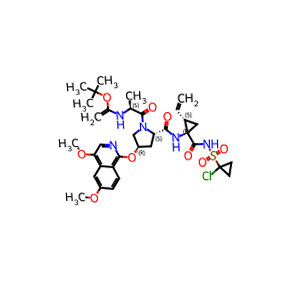 C=C[C@@H]1C[C@]1(NC(=O)[C@@H]1C[C@@H](Oc2ncc(OC)c3cc(OC)ccc23)CN1C(=O)[C@H](C)NC(=C)OC(C)(C)C)C(=O)NS(=O)(=O)C1(Cl)CC1